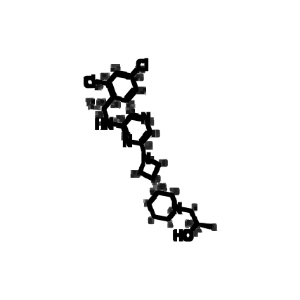 C[C@@H](O)CN1CCC[C@H](C2CN(c3cncc(N[C@H](C)c4ccc(Cl)cc4Cl)n3)C2)C1